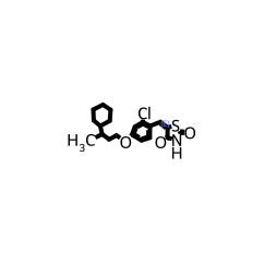 CC(CCOc1ccc(/C=C2/SC(=O)NC2=O)c(Cl)c1)C1CCCCC1